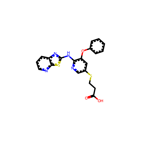 O=C(O)CCSc1cnc(Nc2nc3cccnc3s2)c(Oc2ccccc2)c1